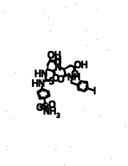 NS(=O)(=O)c1ccc(NC(=S)N[C@@H](CC(=O)O)C(=O)N[C@@H](CC(=O)O)C(=O)NCc2ccc(I)cc2)cc1